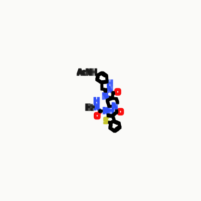 CCNC(=O)Nc1sc2ccccc2c1C(=O)N1CCC2(CC1)N=C(Cc1cccc(NC(C)=O)c1)NC2=O